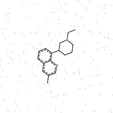 CCN1CCCC(c2cccc3cc(C)cnc23)C1